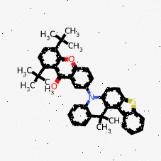 CC(C)(C)c1ccc(C(C)(C)C)c2c(=O)c3cc(N4c5ccccc5C(C)(C)c5c4ccc4sc6ccccc6c54)ccc3oc12